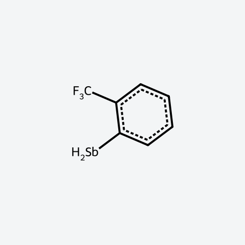 FC(F)(F)c1cccc[c]1[SbH2]